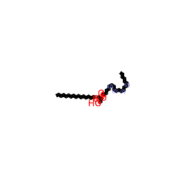 CCCCC/C=C\C/C=C\C/C=C\C/C=C\CCCC(=O)OC(CO)COCCCCCCCCCCCCCCCC